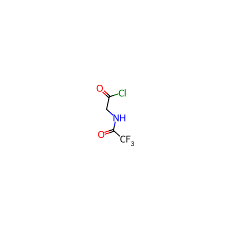 O=C(Cl)CNC(=O)C(F)(F)F